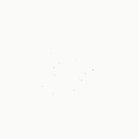 COC(=O)c1csc(N2CCNCC2)n1.O=C(O)C(F)(F)F